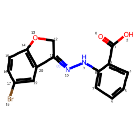 O=C(O)c1ccccc1N/N=C1\COc2ccc(Br)cc21